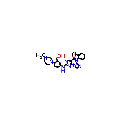 CN1CCCN(c2ccc(Nc3ncc4c(=O)n(-c5ccccc5Cl)c5nccn5c4n3)cc2CO)CC1